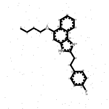 CCCCOc1cc2[nH]c(CCc3ccc(F)cc3)nc2c2ccccc12